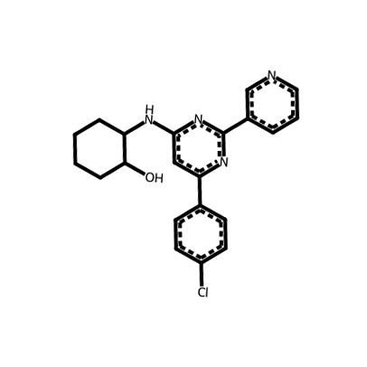 OC1CCCCC1Nc1cc(-c2ccc(Cl)cc2)nc(-c2cccnc2)n1